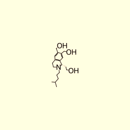 CC(C)CCCN1CCc2cc(CO)c(CO)cc2[C@@H]1CCO